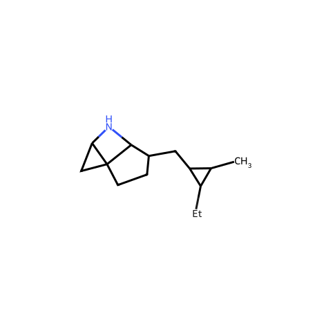 CCC1C(C)C1CC1CCC23CC2NC13